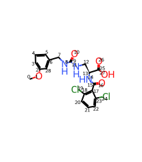 COc1cccc(CNC(=O)NC[C@H](NC(=O)c2c(Cl)cccc2Cl)C(=O)O)c1